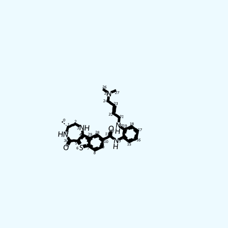 C[C@@H]1CNc2c(sc3ccc(C(=O)Nc4ccccc4NC/C=C/CN(C)C)cc23)C(=O)N1